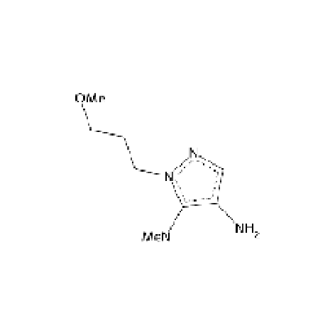 CNc1c(N)cnn1CCCOC